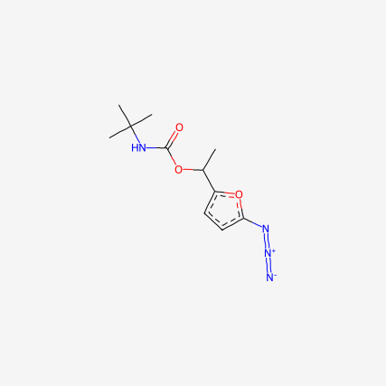 CC(OC(=O)NC(C)(C)C)c1ccc(N=[N+]=[N-])o1